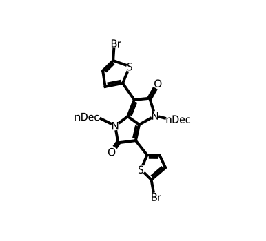 CCCCCCCCCCN1C(=O)C(c2ccc(Br)s2)=C2C1=C(c1ccc(Br)s1)C(=O)N2CCCCCCCCCC